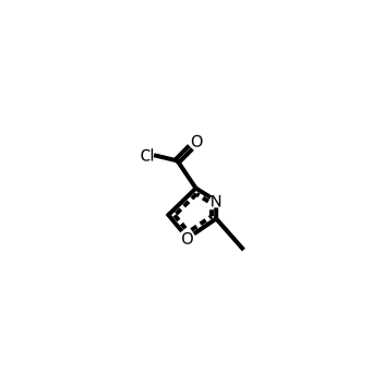 Cc1nc(C(=O)Cl)co1